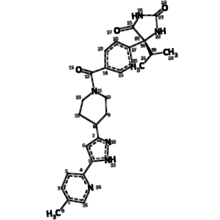 Cc1ccc(-c2cc(C3CCN(C(=O)c4ccc([C@@]5(C(C)C)NC(=O)NC5=O)cc4)CC3)n[nH]2)nc1